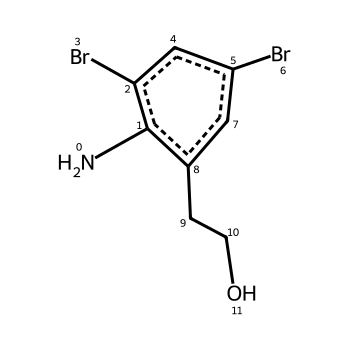 Nc1c(Br)cc(Br)cc1CCO